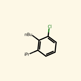 [CH2]CCCc1c(Cl)cccc1C(C)C